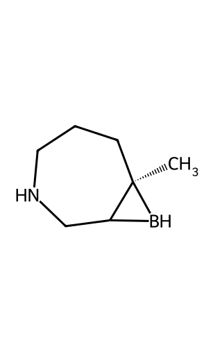 C[C@]12BC1CNCCC2